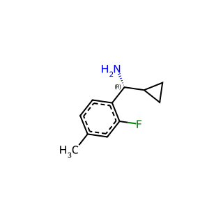 Cc1ccc([C@H](N)C2CC2)c(F)c1